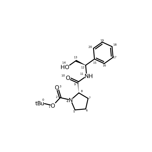 CC(C)(C)OC(=O)N1CCC[C@H]1C(=O)N[C@@H](CO)c1ccccc1